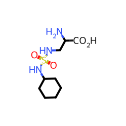 NC(CNS(=O)(=O)NC1CCCCC1)C(=O)O